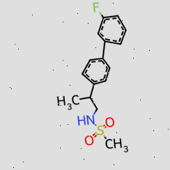 CC(CNS(C)(=O)=O)c1ccc(-c2cccc(F)c2)cc1